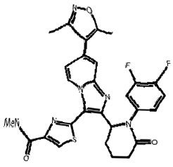 CNC(=O)c1csc(-c2c(C3CCCC(=O)N3c3ccc(F)c(F)c3)nc3cc(-c4c(C)noc4C)ccn23)n1